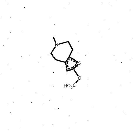 CN1CCc2cc(OC(=O)O)sc2CC1